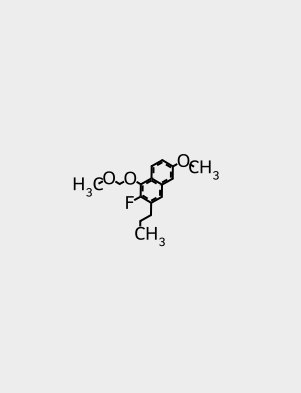 CCCc1cc2cc(OC)ccc2c(OCOC)c1F